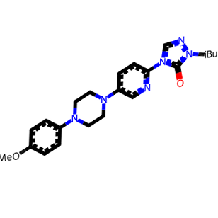 CCC(C)n1ncn(-c2ccc(N3CCN(c4ccc(OC)cc4)CC3)cn2)c1=O